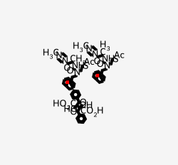 CC(=O)SCCN(CCC12CC3CC(CC(C3)C1)C2)C(=O)N[C@H](C)C(=O)N1CCN(C)CC1.CC(=O)SCCN(CCC12CC3CC(CC(C3)C1)C2)C(=O)N[C@H](C)C(=O)N1CCN(C)CC1.O=C(O)C(O)(C(=O)c1ccccc1)C(O)(C(=O)O)C(=O)c1ccccc1